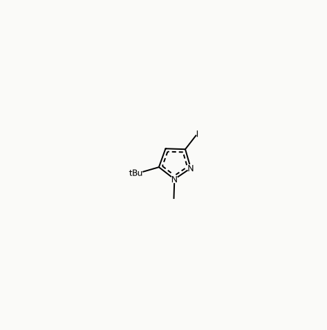 Cn1nc(I)cc1C(C)(C)C